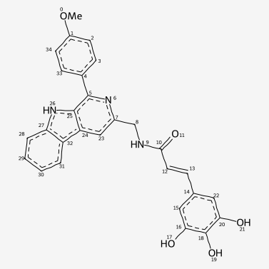 COc1ccc(-c2nc(CNC(=O)/C=C/c3cc(O)c(O)c(O)c3)cc3c2[nH]c2ccccc23)cc1